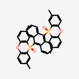 Cc1ccc2c(c1)P(=O)(c1c3ccccc3c(P3(=O)c4cc(C)ccc4Oc4ccc(C)cc43)c3ccccc13)c1cc(C)ccc1O2